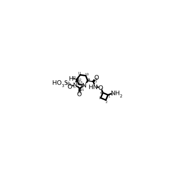 NC1CCC1ONC(=O)[C@@H]1CC[C@@H]2CN1C(=O)N2OS(=O)(=O)O